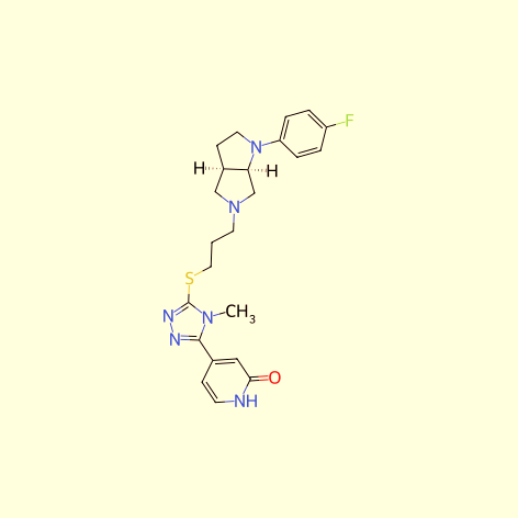 Cn1c(SCCCN2C[C@H]3CCN(c4ccc(F)cc4)[C@H]3C2)nnc1-c1cc[nH]c(=O)c1